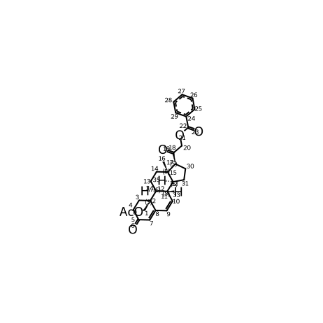 CC(=O)OC[C@]12CCC(=O)C=C1C=C[C@@H]1[C@@H]2CC[C@]2(C)[C@@H](C(=O)COC(=O)c3ccccc3)CC[C@@H]12